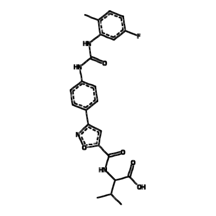 Cc1ccc(F)cc1NC(=O)Nc1ccc(-c2cc(C(=O)NC(C(=O)O)C(C)C)on2)cc1